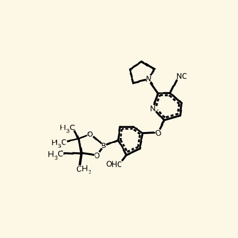 [C-]#[N+]c1ccc(Oc2ccc(B3OC(C)(C)C(C)(C)O3)c(C=O)c2)nc1N1CCCC1